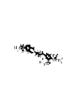 COc1cc(CCC(C)(C)N2Cc3ccc(S(C)(=O)=O)cc3C2)ccc1OC(C)(C)C